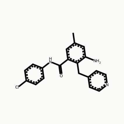 Cc1cc(N)c(Cc2ccncc2)c(C(=O)Nc2ccc(Cl)cc2)c1